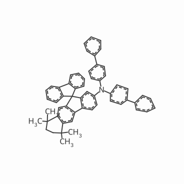 CC1(C)CCC(C)(C)c2cc3c(cc21)-c1ccc(N(c2ccc(-c4ccccc4)cc2)c2ccc(-c4ccccc4)cc2)cc1C31c2ccccc2-c2ccccc21